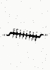 OCCC(F)(F)C(F)(F)C(F)(F)C(F)(F)C(F)(F)C(F)(F)C(F)(F)C(F)(F)CCO